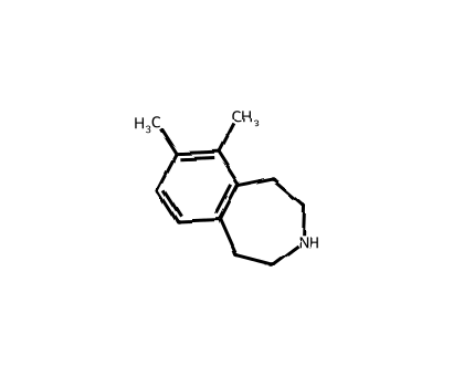 Cc1ccc2c(c1C)CCNCC2